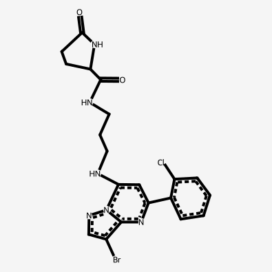 O=C1CCC(C(=O)NCCCNc2cc(-c3ccccc3Cl)nc3c(Br)cnn23)N1